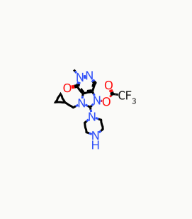 Cn1ncc2c(c1=O)N(CC1CC1)C(N1CCNCC1)N2OC(=O)C(F)(F)F